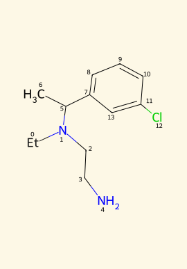 CCN(CCN)C(C)c1cccc(Cl)c1